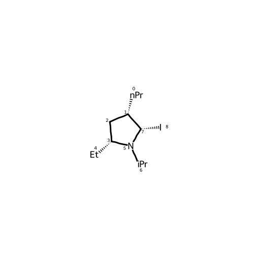 CCC[C@H]1C[C@@H](CC)N(C(C)C)[C@H]1I